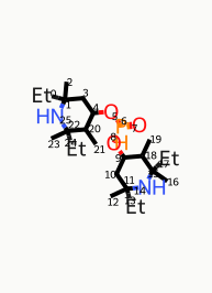 CCC1(C)CC(O[PH](=O)OC2CC(C)(CC)NC(C)(CC)C2C)C(C)C(C)(CC)N1